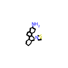 NC1=CCc2c3c(ccc2=C1)=C1C=CCCC1=CC3.c1cscn1